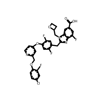 O=C(O)c1cc(F)c2nc(Cc3cc(F)c(Oc4ccnc(COc5ccc(Cl)cc5F)c4)cc3F)n(CC3CCO3)c2c1